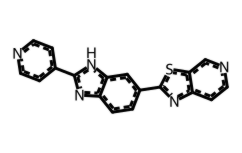 c1cc(-c2nc3ccc(-c4nc5ccncc5s4)cc3[nH]2)ccn1